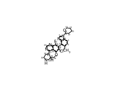 Cc1ccc2c(ncn2C2CCCCO2)c1-c1c(Cl)c2c3c(ncnc3c1F)N1CCNC[C@H]1CO2